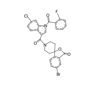 O=C1OC2(CCN(C(=O)c3cn(C(=O)c4ccccc4F)c4cc(Cl)ccc34)CC2)c2ccc(Br)cc21